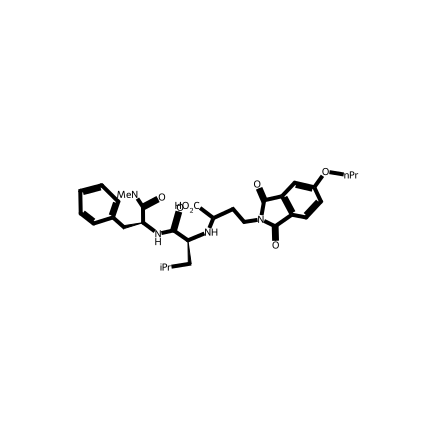 CCCOc1ccc2c(c1)C(=O)N(CCC(N[C@@H](CC(C)C)C(=O)N[C@@H](Cc1ccccc1)C(=O)NC)C(=O)O)C2=O